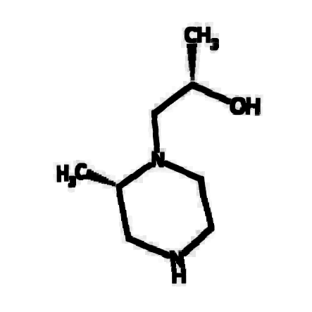 C[C@H](O)CN1CCNC[C@@H]1C